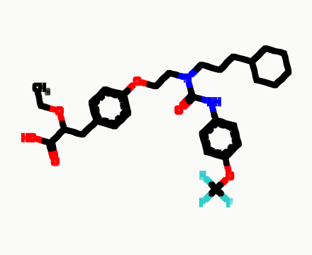 CCOC(Cc1ccc(OCCN(CCCC2CCCCC2)C(=O)Nc2ccc(OC(F)(F)F)cc2)cc1)C(=O)O